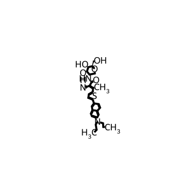 CCCN(CCC)c1ccc2cc(-c3ccc(/C(C)=C(\C#N)C(=O)N[C@H]4CO[C@H](CO)[C@@H](O)[C@@H]4O)s3)ccc2c1